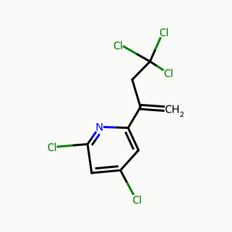 C=C(CC(Cl)(Cl)Cl)c1cc(Cl)cc(Cl)n1